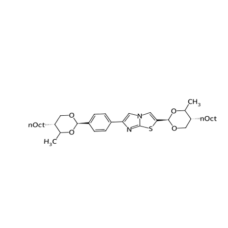 CCCCCCCC[C@@H]1CO[C@@H](c2ccc(-c3cn4cc([C@@H]5OC[C@@H](CCCCCCCC)C(C)O5)sc4n3)cc2)OC1C